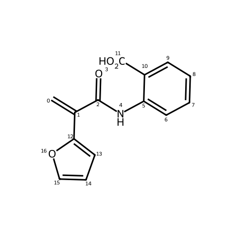 C=C(C(=O)Nc1ccccc1C(=O)O)c1ccco1